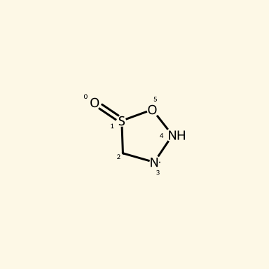 O=S1C[N]NO1